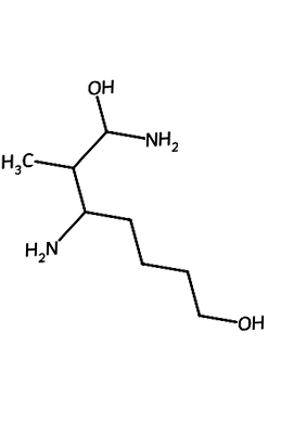 CC(C(N)O)C(N)CCCCO